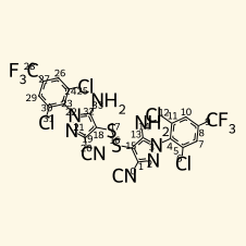 [C-]#[N+]c1nn(-c2c(Cl)cc(C(F)(F)F)cc2Cl)c(N)c1SSc1c(C#N)nn(-c2c(Cl)cc(C(F)(F)F)cc2Cl)c1N